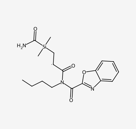 CCCCN(C(=O)[CH]C[Si](C)(C)C(N)=O)C(=O)c1nc2ccccc2o1